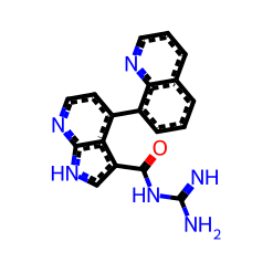 N=C(N)NC(=O)c1c[nH]c2nccc(-c3cccc4cccnc34)c12